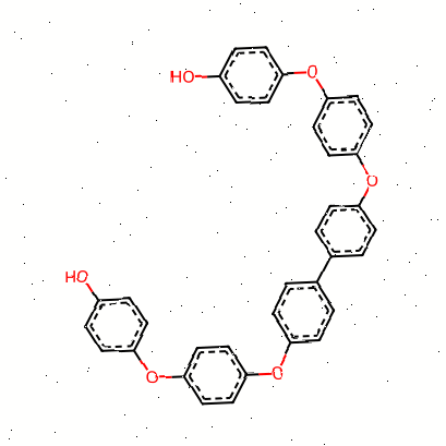 Oc1ccc(Oc2ccc(Oc3ccc(-c4ccc(Oc5ccc(Oc6ccc(O)cc6)cc5)cc4)cc3)cc2)cc1